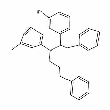 Cc1cccc([C](CCCc2ccccc2)C(Cc2ccccc2)c2cccc(C(C)C)c2)c1